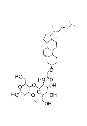 CCO[C@@H]1C(C)C(O)OC(CO)[C@H]1O[C@@H]1OC(CO)[C@@H](O)[C@H](O)C1NC(=O)CO[C@@H]1CC[C@@]2(C)C(=CCC3C2CC[C@@]2(C)C3CC[C@@H]2[C@H](C)CCCC(C)C)C1